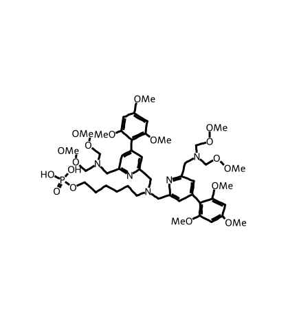 COOCN(COOC)Cc1cc(-c2c(OC)cc(OC)cc2OC)cc(CN(CCCCCCOP(=O)(O)O)Cc2cc(-c3c(OC)cc(OC)cc3OC)cc(CN(COOC)COOC)n2)n1